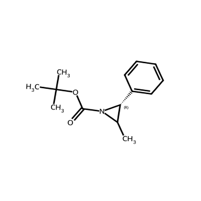 CC1[C@@H](c2ccccc2)N1C(=O)OC(C)(C)C